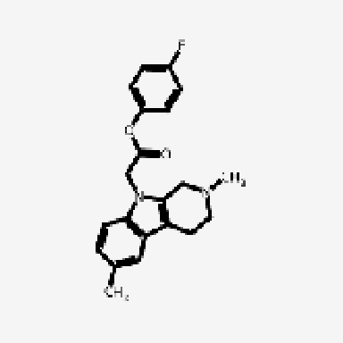 Cc1ccc2c(c1)c1c(n2CC(=O)Oc2ccc(F)cc2)CN(C)CC1